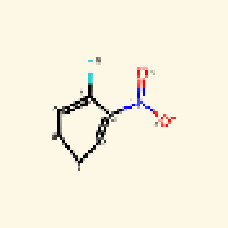 O=[N+]([O-])C1=CCCC=C1F